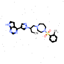 N#CCC(CN1CCCN(S(=O)(=O)c2ccccc2C(F)(F)F)CC1)n1cc(-c2ncnc3[nH]ccc23)cn1